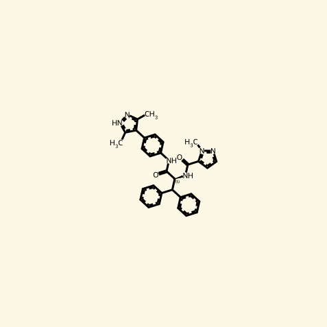 Cc1n[nH]c(C)c1-c1ccc(NC(=O)[C@@H](NC(=O)c2ccnn2C)C(c2ccccc2)c2ccccc2)cc1